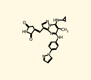 Cc1c(Nc2ccc(-n3cccn3)cc2)nc2c(/C=C3\CC(=O)NC3=O)cnn2c1NC1CC1